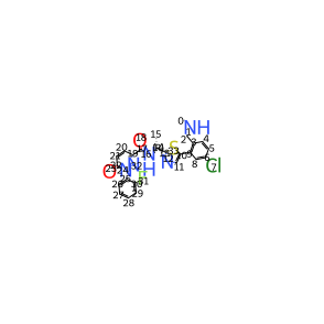 CNCc1ccc(Cl)cc1-c1cnc([C@@H](C)NC(=O)c2ccc(=O)n(-c3ccccc3F)n2)s1